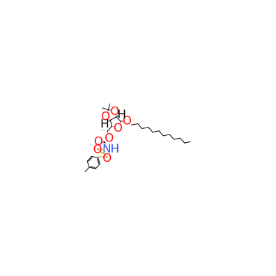 CCCCCCCCCCCCO[C@H]1O[C@H]([C@@H](C)OC(=O)NS(=O)(=O)c2ccc(C)cc2)[C@@H]2OC(C)(C)O[C@H]12